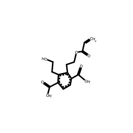 C=CC(=O)OCCc1c(C(=O)O)ccc(C(=O)O)c1CCO